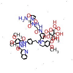 COc1cc2c(cc1OC)C[N+](CCc1ccc(NC(=O)c3cc(OC)c(OC)cc3NC(=O)c3cnc4ccccc4c3)cc1)(Cc1ccc(OC3O[C@H](C(=O)O)[C@@H](O)[C@H](O)[C@H]3O)c(NC(=O)CCNC(=O)[C@H](CN)N3C(=O)C=CC3=O)c1)CC2